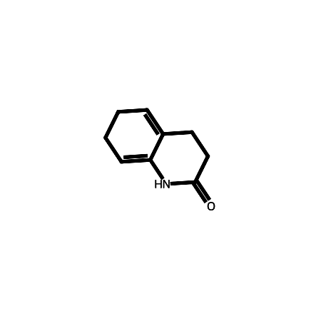 O=C1CCC2=CCCC=C2N1